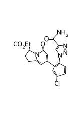 CCOC(=O)[C@@H]1CCc2cc(-c3cc(Cl)ccc3-n3cc(C(N)=O)nn3)cc(=O)n21